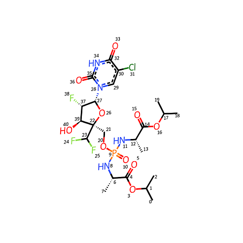 CC(C)OC(=O)[C@H](C)NP(=O)(N[C@@H](C)C(=O)OC(C)C)OC[C@@]1(C(F)F)O[C@@H](n2cc(Cl)c(=O)[nH]c2=O)[C@@H](F)[C@@H]1O